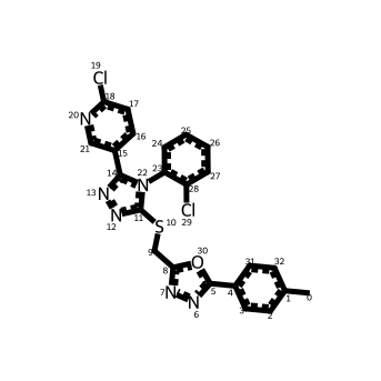 Cc1ccc(-c2nnc(CSc3nnc(-c4ccc(Cl)nc4)n3-c3ccccc3Cl)o2)cc1